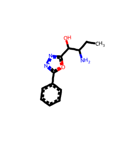 CCC(N)C(O)c1nnc(-c2ccccc2)o1